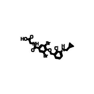 O=C(O)CNC(=O)c1cc(Br)c(OCc2cccc(NCC3CC3)c2Cl)c(Br)c1